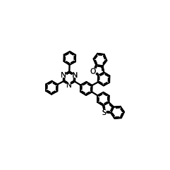 c1ccc(-c2nc(-c3ccccc3)nc(-c3ccc(-c4ccc5c(c4)sc4ccccc45)c(-c4cccc5c4oc4ccccc45)c3)n2)cc1